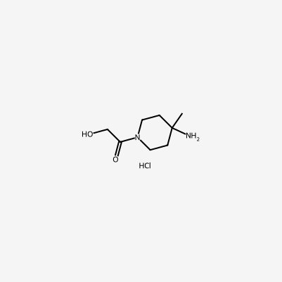 CC1(N)CCN(C(=O)CO)CC1.Cl